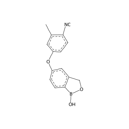 [C-]#[N+]c1ccc(Oc2ccc3c(c2)COB3O)cc1C